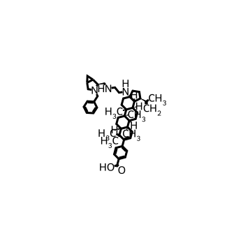 C=C(C)[C@@H]1CC[C@]2(NCCNC[C@@H]3C4CC4CN3Cc3ccccc3)CC[C@]3(C)[C@H](CC[C@@H]4[C@@]5(C)CC=C(c6ccc(C(=O)O)cc6)C(C)(C)[C@@H]5CC[C@]43C)[C@@H]12